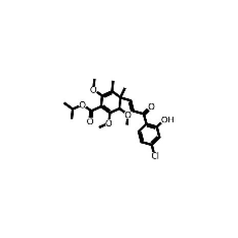 COC1=C(C)C(C)(C=CC(=O)c2ccc(Cl)cc2O)C(OC)C(OC)=C1C(=O)OC(C)C